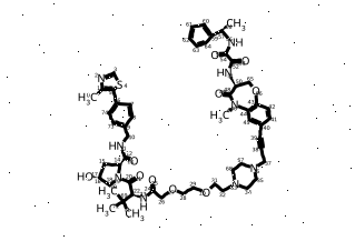 Cc1ncsc1-c1ccc(CNC(=O)[C@@H]2C[C@@H](O)CN2C(=O)[C@@H](NC(=O)COCCOCCN2CCN(CC#Cc3ccc4c(c3)N(C)C(=O)[C@@H](NC(=O)C(=O)N[C@H](C)c3ccccc3)CO4)CC2)C(C)(C)C)cc1